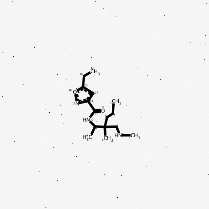 CCCC(C)(CNC)C(C)NC(=O)c1cc(CC)on1